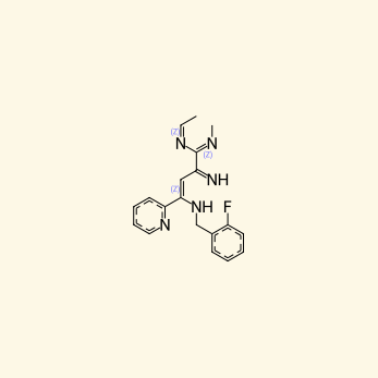 C/C=N\C(=N/C)C(=N)/C=C(\NCc1ccccc1F)c1ccccn1